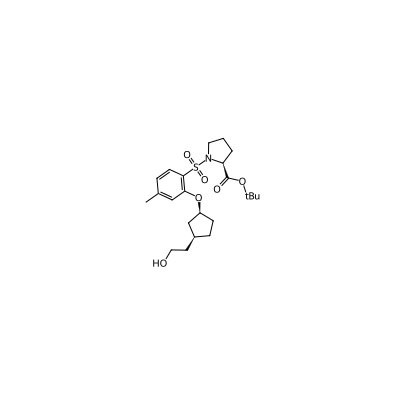 Cc1ccc(S(=O)(=O)N2CCC[C@H]2C(=O)OC(C)(C)C)c(O[C@H]2CC[C@@H](CCO)C2)c1